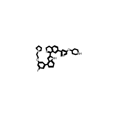 Fc1cc(OCCN2CCCC2)cc(-c2cccc3[nH]c(C4=NCCc5ccc(-c6cncc(OC7CCNCC7)c6)cc54)cc23)c1